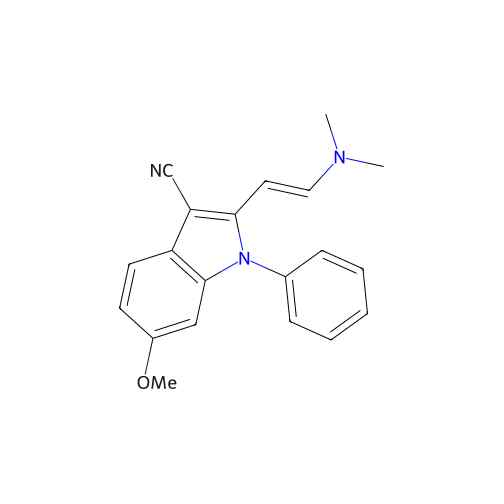 COc1ccc2c(C#N)c(C=CN(C)C)n(-c3ccccc3)c2c1